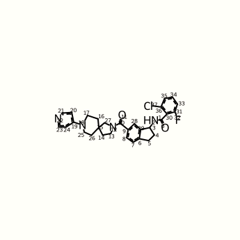 O=C(NC1CCc2ccc(C(=O)N3CCC4(CCN(c5ccncc5)CC4)C3)cc21)c1c(F)cccc1Cl